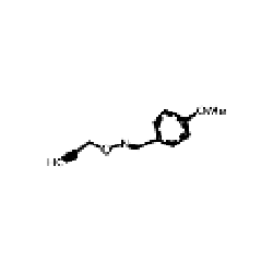 C#CCON=[C]c1ccc(OC)cc1